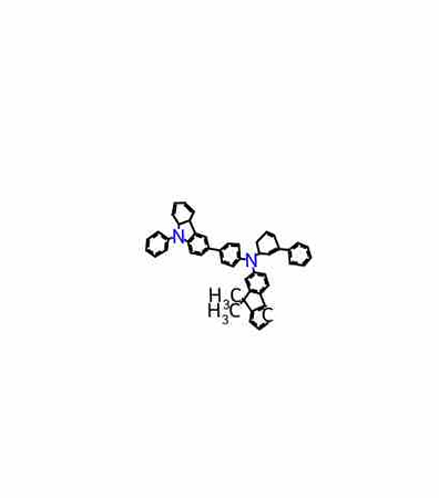 CC1(C)c2ccccc2-c2ccc(N(c3ccc(-c4ccc5c(c4)C4C=CC=CC4N5c4ccccc4)cc3)C3C=C(c4ccccc4)C=CC3)cc21